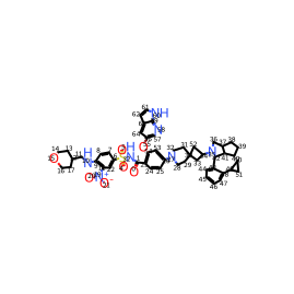 O=C(NS(=O)(=O)c1ccc(NCC2CCOCC2)c([N+](=O)[O-])c1)c1ccc(N2CCC3(CC2)CC(N2CC4CCCC4C2c2ccccc2C2CC2)C3)cc1Oc1cnc2[nH]ccc2c1